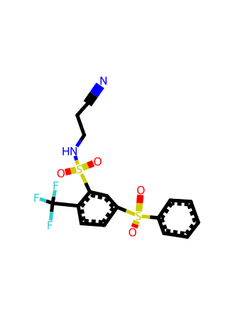 N#CCCNS(=O)(=O)c1cc(S(=O)(=O)c2ccccc2)ccc1C(F)(F)F